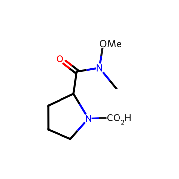 CON(C)C(=O)C1CCCN1C(=O)O